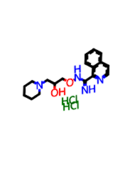 Cl.Cl.N=C(NOCC(O)CN1CCCCC1)c1nccc2ccccc12